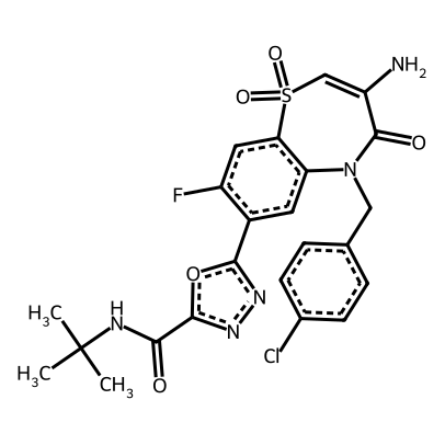 CC(C)(C)NC(=O)c1nnc(-c2cc3c(cc2F)S(=O)(=O)C=C(N)C(=O)N3Cc2ccc(Cl)cc2)o1